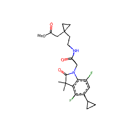 COC(=O)CC1(CCNC(=O)CN2C(=O)C(C)(C)c3c(F)c(C4CC4)cc(F)c32)CC1